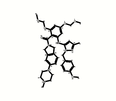 COCOc1cc(Nc2cc(C)nn2Cc2ccc(OC)cc2)c(C(=O)N2Cc3ccc(N4CCN(C)CC4)cc3C2)c(OCOC)c1